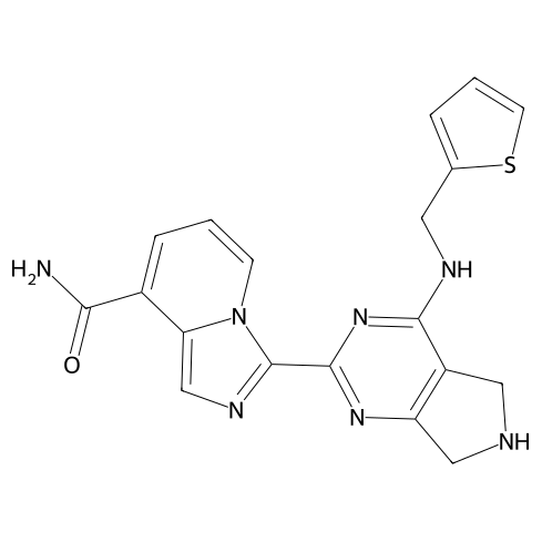 NC(=O)c1cccn2c(-c3nc4c(c(NCc5cccs5)n3)CNC4)ncc12